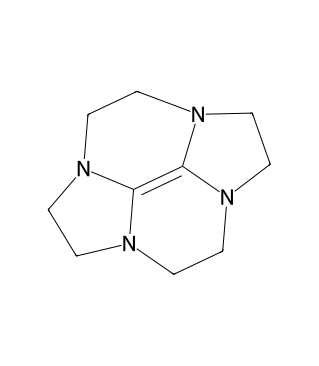 C1CN2CCN3CCN4CCN1C2=C43